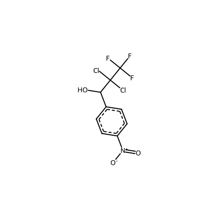 O=[N+]([O-])c1ccc(C(O)C(Cl)(Cl)C(F)(F)F)cc1